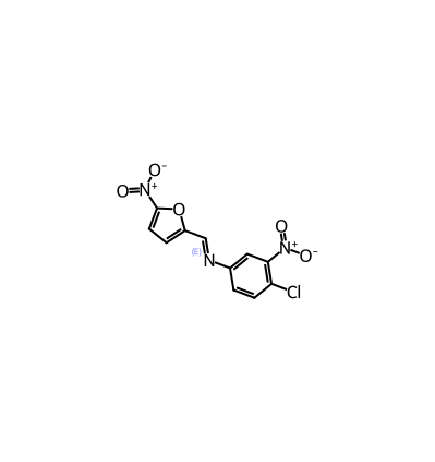 O=[N+]([O-])c1ccc(/C=N/c2ccc(Cl)c([N+](=O)[O-])c2)o1